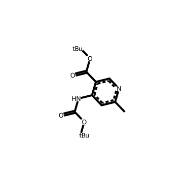 Cc1cc(NC(=O)OC(C)(C)C)c(C(=O)OC(C)(C)C)cn1